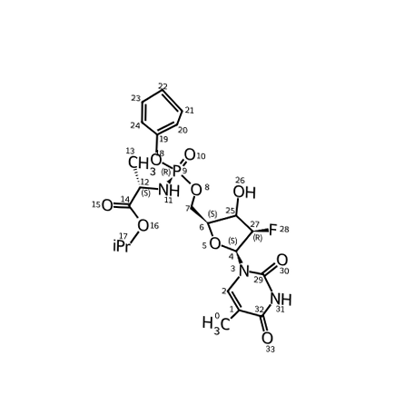 Cc1cn([C@H]2O[C@@H](CO[P@](=O)(N[C@@H](C)C(=O)OC(C)C)Oc3ccccc3)C(O)[C@H]2F)c(=O)[nH]c1=O